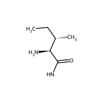 CC[C@H](C)[C@H](N)C([NH])=O